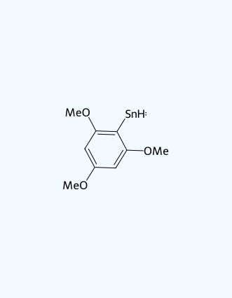 COc1cc(OC)[c]([SnH])c(OC)c1